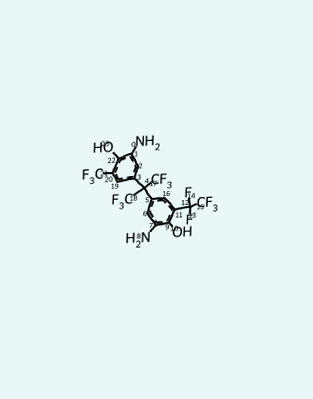 Nc1cc(C(c2cc(N)c(O)c(C(F)(F)C(F)(F)F)c2)(C(F)(F)F)C(F)(F)F)cc(C(F)(F)F)c1O